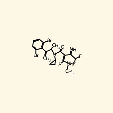 C=C(c1c(Br)cccc1Br)C(C)N(C(=O)/C(C(=N)C(F)F)=C(\F)NC)C1CC1